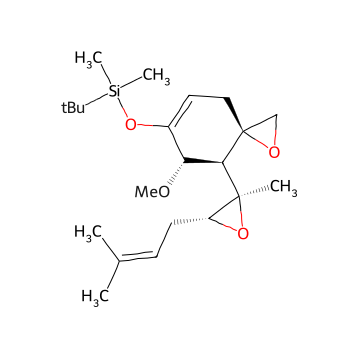 CO[C@@H]1C(O[Si](C)(C)C(C)(C)C)=CC[C@]2(CO2)[C@H]1[C@@]1(C)O[C@@H]1CC=C(C)C